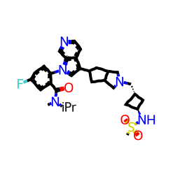 CC(C)N(C)C(=O)c1cc(F)ccc1-n1cc(C2CC3CN(C[C@H]4C[C@H](NS(C)(=O)=O)C4)CC3C2)c2ccncc21